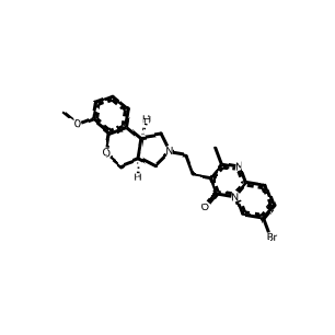 COc1cccc2c1OC[C@@H]1CN(CCc3c(C)nc4ccc(Br)cn4c3=O)C[C@H]21